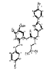 CCN(CC)CCN(Cc1ccc(-c2ccc(C(F)(F)F)cc2)nc1)C(=O)Cn1cc(SC)c(=O)nc1SCc1ccc(F)cc1